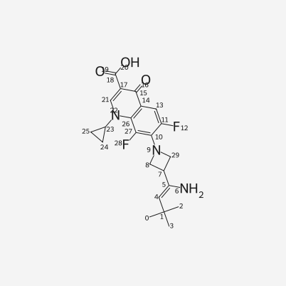 CC(C)(C)C=C(N)C1CN(c2c(F)cc3c(=O)c(C(=O)O)cn(C4CC4)c3c2F)C1